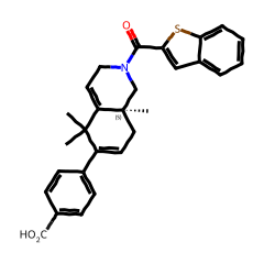 CC1(C)C(c2ccc(C(=O)O)cc2)=CC[C@]2(C)CN(C(=O)c3cc4ccccc4s3)CC=C12